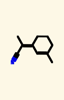 CC1=C/C(=C(/C)C#N)CCC1